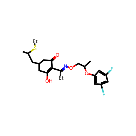 CCSC(C)CC1CC(=O)C(C(CC)=NOCC(C)Oc2cc(F)cc(F)c2)=C(O)C1